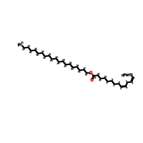 CCCCC/C=C\C/C=C\CCCCCCCC(=O)OCCCCCCCCCCCCCCCCCCCC(C)C